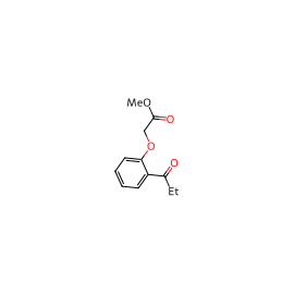 CCC(=O)c1ccccc1OCC(=O)OC